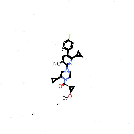 CCO[C@H]1C[C@@H]1C(=O)N1CCN(c2nc(C3CC3)c(-c3ccc(F)cc3)cc2C#N)CC1C1CC1